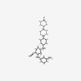 CN1CCC(N2CCN(c3ccc(Nc4ncc(C#N)c(Nc5cccc(N)n5)n4)cc3)CC2)CC1